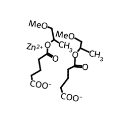 COCC(C)OC(=O)CCCC(=O)[O-].COCC(C)OC(=O)CCCC(=O)[O-].[Zn+2]